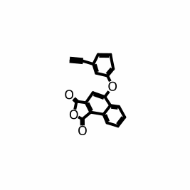 C#Cc1cccc(Oc2cc3c(c4ccccc24)C(=O)OC3=O)c1